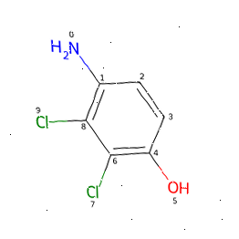 Nc1ccc(O)c(Cl)c1Cl